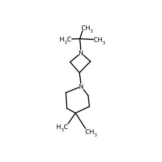 CC1(C)CCN(C2CN(C(C)(C)C)C2)CC1